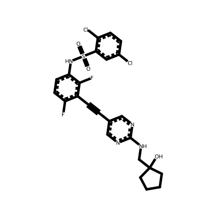 O=S(=O)(Nc1ccc(F)c(C#Cc2cnc(NCC3(O)CCCC3)nc2)c1F)c1cc(Cl)ccc1Cl